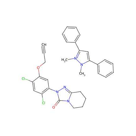 C#CCOc1cc(-n2nc3n(c2=O)CCCC3)c(Cl)cc1Cl.Cn1c(-c2ccccc2)cc(-c2ccccc2)[n+]1C